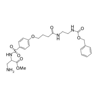 COC(=O)C(CN)NS(=O)(=O)c1ccc(OCCCC(=O)NCCNC(=O)OCc2ccccc2)cc1